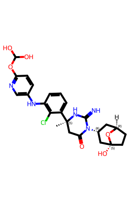 C[C@@]1(c2cccc(Nc3ccc(OC(O)O)nc3)c2Cl)CC(=O)N([C@@H]2C[C@H]3CC[C@@](O)(C2)O3)C(=N)N1